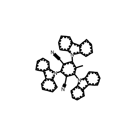 Cc1c(-n2c3ccccc3c3ccccc32)c(C#N)c(-n2c3ccccc3c3ccccc32)c(C#N)c1-n1c2ccccc2c2ccccc21